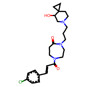 O=C(C=Cc1ccc(Cl)cc1)N1CCC(=O)N(CCCN2CCC3(CC3)C(O)C2)CC1